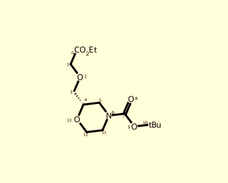 CCOC(=O)COC[C@@H]1CN(C(=O)OC(C)(C)C)CCO1